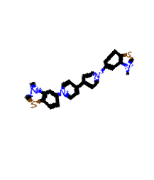 C[n+]1csc2ccc(-[n+]3ccc(-c4cc[n+](-c5ccc6sc[n+](C)c6c5)cc4)cc3)cc21